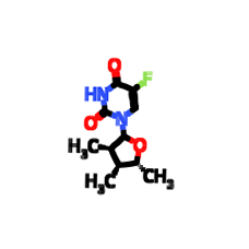 C[C@@H]1[C@@H](C)OC(n2cc(F)c(=O)[nH]c2=O)[C@@H]1C